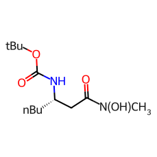 CCCC[C@@H](CC(=O)N(C)O)NC(=O)OC(C)(C)C